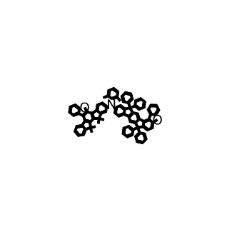 Cc1cccc(C)c1N(c1ccc2c(c1)C(C)(C)c1c3c(c4c(oc5ccccc54)c1-2)-c1ccccc1C3(C)C)c1ccc2c(c1)C(c1ccccc1)(c1ccccc1)c1cc3c(cc1-2)C(c1ccccc1)(c1ccccc1)c1ccc2oc4ccccc4c2c1-3